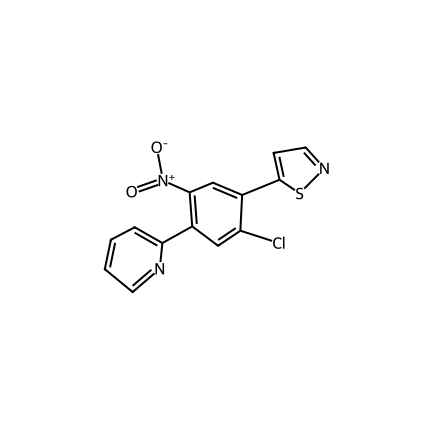 O=[N+]([O-])c1cc(-c2ccns2)c(Cl)cc1-c1ccccn1